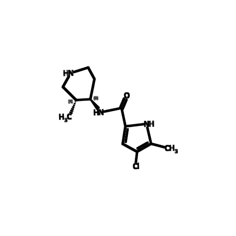 Cc1[nH]c(C(=O)N[C@@H]2CCNC[C@H]2C)cc1Cl